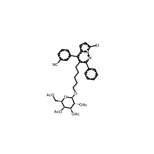 CCc1ccc2c(-c3cccc(C#N)c3)c(CCCCCO[C@@H]3O[C@H](COC(C)=O)[C@H](OC(C)=O)[C@H](OC(C)=O)[C@H]3OC(C)=O)c(-c3ccccc3)nn12